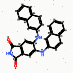 O=C1NC(=O)c2cc(Nc3ccc4ccccc4c3)c(Nc3ccc4ccccc4c3)cc21